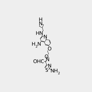 Nc1nc(/C(C=O)=N/OCCOc2ccc3nc(NCC4CNC4)cc(N)c3c2)cs1